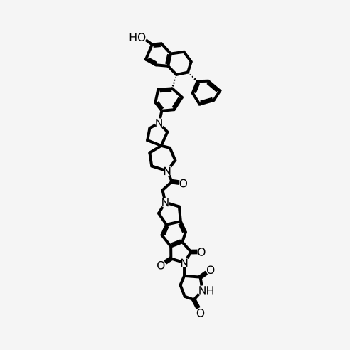 O=C1CCC(N2C(=O)c3cc4c(cc3C2=O)CN(CC(=O)N2CCC3(CC2)CCN(c2ccc([C@@H]5c6ccc(O)cc6CC[C@@H]5c5ccccc5)cc2)C3)C4)C(=O)N1